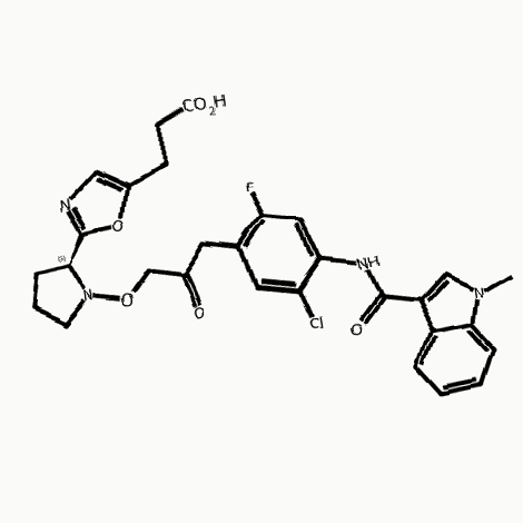 Cn1cc(C(=O)Nc2cc(F)c(CC(=O)CON3CCC[C@H]3c3ncc(CCC(=O)O)o3)cc2Cl)c2ccccc21